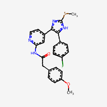 COc1ccc(CC(=O)Nc2cc(-c3nc(SC)[nH]c3-c3ccc(F)cc3)ccn2)cc1